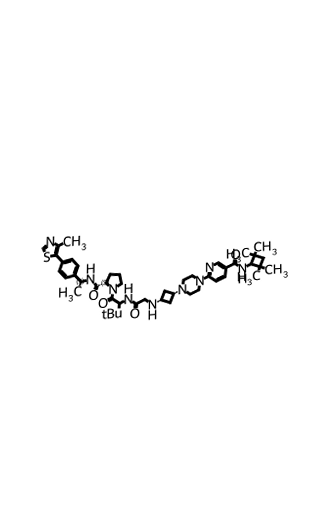 Cc1ncsc1-c1ccc([C@H](C)NC(=O)[C@@H]2CCCN2C(=O)C(NC(=O)CN[C@H]2C[C@@H](N3CCN(c4ccc(C(=O)NC5C(C)(C)CC5(C)C)cn4)CC3)C2)C(C)(C)C)cc1